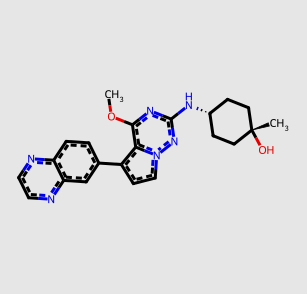 COc1nc(N[C@H]2CC[C@@](C)(O)CC2)nn2ccc(-c3ccc4nccnc4c3)c12